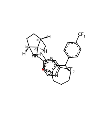 FC(F)(F)c1ccc(C2CCCCn3nc(N[C@@H]4[C@@H]5CC[C@H]4CN(c4ccnc(C(F)(F)F)c4)C5)nc32)cc1